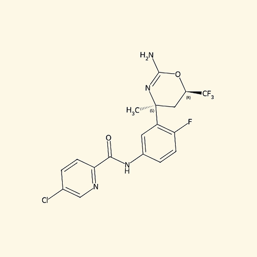 C[C@@]1(c2cc(NC(=O)c3ccc(Cl)cn3)ccc2F)C[C@H](C(F)(F)F)OC(N)=N1